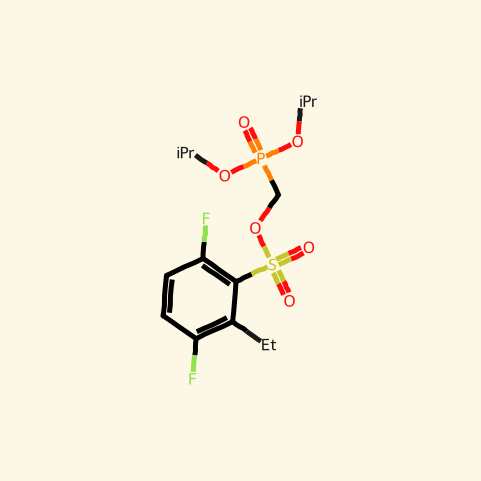 CCc1c(F)ccc(F)c1S(=O)(=O)OCP(=O)(OC(C)C)OC(C)C